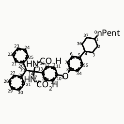 CCCCCC1CCC(c2ccc(Oc3ccc(C(NC(=O)O)(NC(=O)O)C(c4ccccc4)c4ccccc4)cc3)cc2)CC1